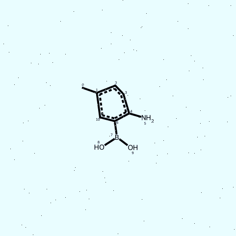 Cc1ccc(N)c(B(O)O)c1